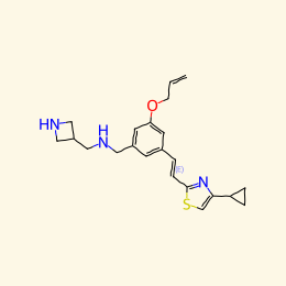 C=CCOc1cc(/C=C/c2nc(C3CC3)cs2)cc(CNCC2CNC2)c1